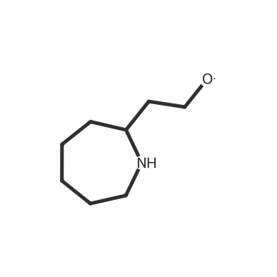 [O]CCC1CCCCCN1